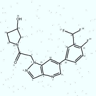 O=C(Cn1ncc2ncc(-c3ccc(F)c(C(F)F)c3)cc21)N1CCC(O)C1